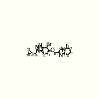 Cc1cccc2nc(COc3ccc4c(nnn4CC4CC4)c3Br)cn12